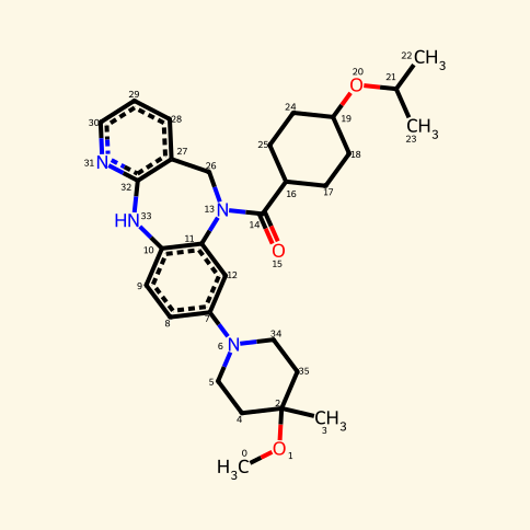 COC1(C)CCN(c2ccc3c(c2)N(C(=O)C2CCC(OC(C)C)CC2)Cc2cccnc2N3)CC1